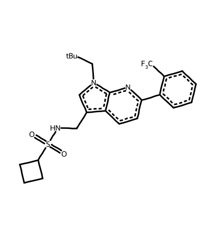 CC(C)(C)Cn1cc(CNS(=O)(=O)C2CCC2)c2ccc(-c3ccccc3C(F)(F)F)nc21